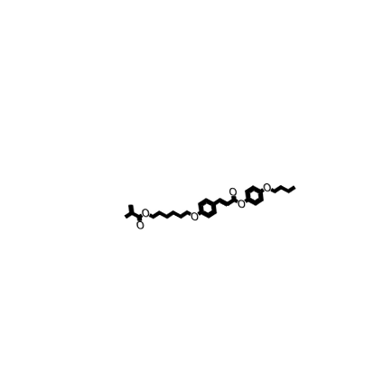 C=C(C)C(=O)OCCCCCCOc1ccc(/C=C/C(=O)Oc2ccc(OCCCC)cc2)cc1